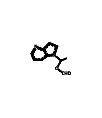 CC(OC=O)n1ccc2ncccc21